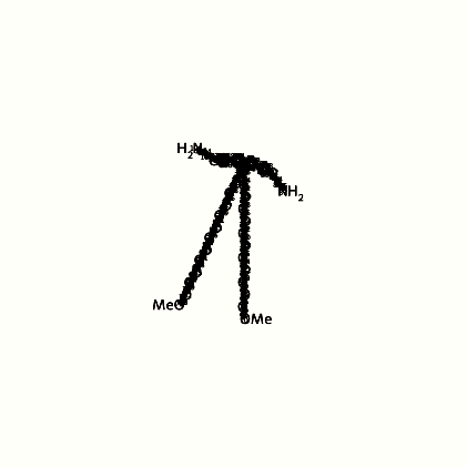 COCCOCCOCCOCCOCCOCCOCCOCCOCCOCCOCCOCCCC1(CCCOCCOCCOCCOCCOCCOCCOCCOCCOCCOCCOCCOC)c2cc(-c3ccc(OCCCCN)cc3)ccc2-c2ccc(-c3ccc(OCCCCN)cc3)cc21